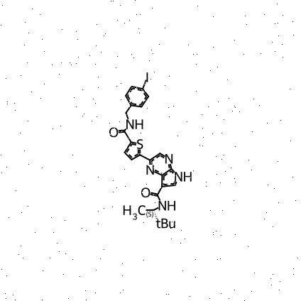 C[C@H](NC(=O)c1c[nH]c2ncc(-c3ccc(C(=O)NCc4ccc(I)cc4)s3)nc12)C(C)(C)C